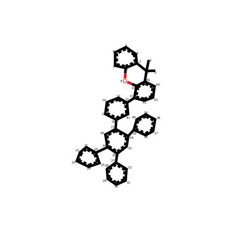 CC1(C)c2ccccc2Oc2c(-c3cccc(-c4cc(-c5ccccc5)c(-c5ccccc5)cc4-c4ccccc4)c3)cccc21